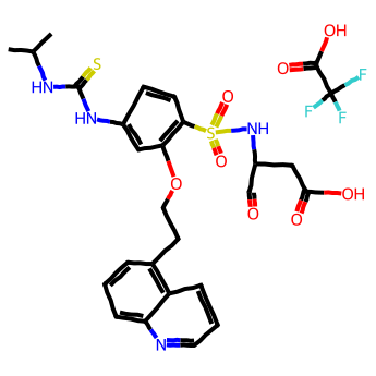 CC(C)NC(=S)Nc1ccc(S(=O)(=O)NC(C=O)CC(=O)O)c(OCCc2cccc3ncccc23)c1.O=C(O)C(F)(F)F